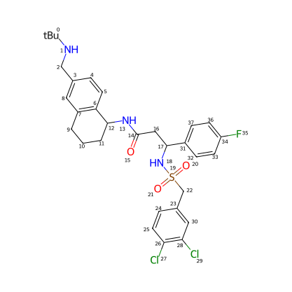 CC(C)(C)NCc1ccc2c(c1)CCCC2NC(=O)CC(NS(=O)(=O)Cc1ccc(Cl)c(Cl)c1)c1ccc(F)cc1